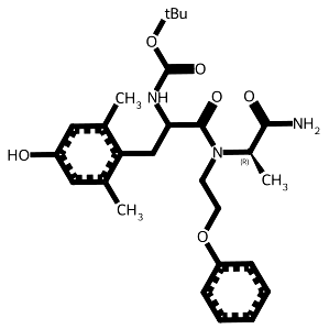 Cc1cc(O)cc(C)c1CC(NC(=O)OC(C)(C)C)C(=O)N(CCOc1ccccc1)[C@H](C)C(N)=O